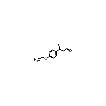 CCOc1ccc(C(=O)CC=O)cc1